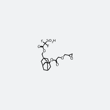 O=C(COCC1CO1)OC12CC3CC(CC(COC(=O)C(F)(F)S(=O)(=O)O)(C3)C1)C2